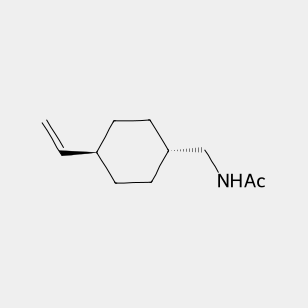 C=C[C@H]1CC[C@H](CNC(C)=O)CC1